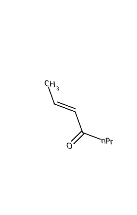 CC=CC(=O)CCC